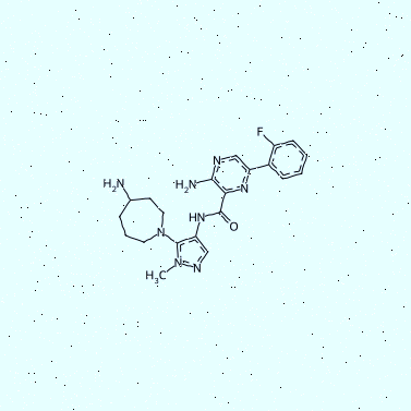 Cn1ncc(NC(=O)c2nc(-c3ccccc3F)cnc2N)c1N1CCCC(N)CC1